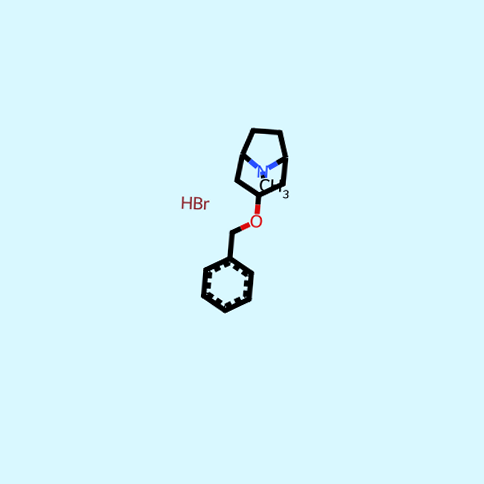 Br.CN1C2CCC1CC(OCc1ccccc1)C2